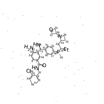 C/C=C(CNC(=O)c1ccc(N)c(C(=N)c2ccc(P(C)C(CC)CC3CCN3C3COC3)cc2)c1)\C(Cl)=C/C